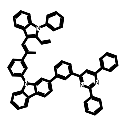 C=Cc1c(/C=C(\C)c2cccc(-n3c4ccccc4c4ccc(-c5cccc(-c6cc(-c7ccccc7)nc(-c7ccccc7)n6)c5)cc43)c2)c2ccccc2n1-c1ccccc1